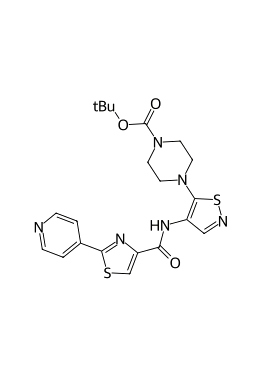 CC(C)(C)OC(=O)N1CCN(c2sncc2NC(=O)c2csc(-c3ccncc3)n2)CC1